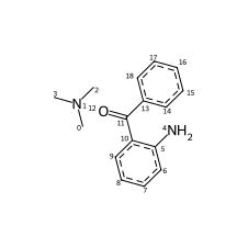 CN(C)C.Nc1ccccc1C(=O)c1ccccc1